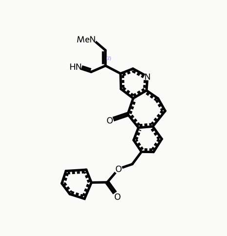 CN/C=C(\C=N)c1cnc2ccc3ccc(COC(=O)c4ccccc4)cc3c(=O)c2c1